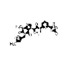 Cc1cc(Cn2c(=O)c3c(ncn3C(C)C(=O)Nc3cccc(-c4nc(=O)o[nH]4)n3)n(C)c2=O)no1